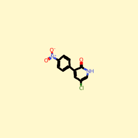 O=c1[nH]cc(Cl)cc1-c1ccc([N+](=O)[O-])cc1